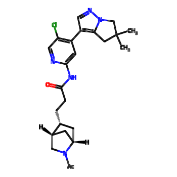 CC(=O)N1C[C@H]2C[C@@H]1C[C@H]2CCC(=O)Nc1cc(-c2cnn3c2CC(C)(C)C3)c(Cl)cn1